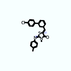 Cc1ccc(/N=C2/S/C(=C\C3C=CC=C(c4ccc(Cl)cc4)C3)C(=O)N2C)cc1